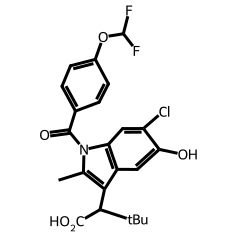 Cc1c(C(C(=O)O)C(C)(C)C)c2cc(O)c(Cl)cc2n1C(=O)c1ccc(OC(F)F)cc1